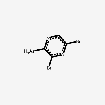 [AsH2]c1ncc(Br)nc1Br